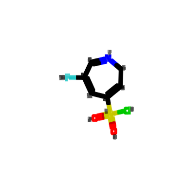 O=S(=O)(Cl)C1=CCN=CC(F)=C1